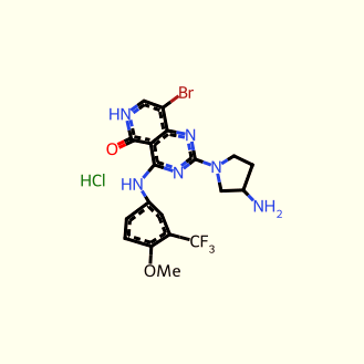 COc1ccc(Nc2nc(N3CCC(N)C3)nc3c(Br)c[nH]c(=O)c23)cc1C(F)(F)F.Cl